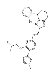 Cc1cn(-c2ccc(/C=C/c3nc4n(n3)CCC[C@H]4c3ccccc3C(F)(F)F)nc2OCC(F)F)cn1